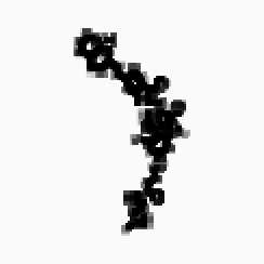 CNCCNC(=O)CCCOc1cc(C)c(S(=O)(=O)N[C@@H](CNC(=O)c2ccc(CCc3ccc4c(n3)NCCC4)cc2)C(=O)OC)c(C)c1